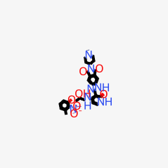 Cc1cccc(OCC(O)CNc2cc[nH]c(=O)c2-c2nc3cc4c(cc3[nH]2)C(=O)N(C2CCN(C)CC2)C4=O)c1[N+](=O)[O-]